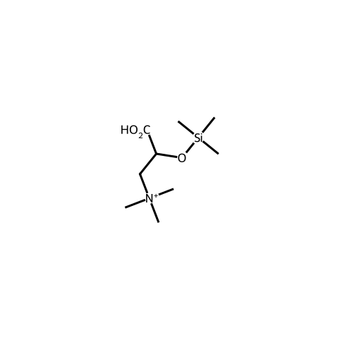 C[N+](C)(C)CC(O[Si](C)(C)C)C(=O)O